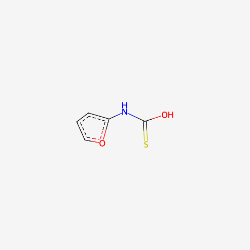 OC(=S)Nc1ccco1